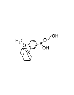 COc1ccc(B(O)OCCO)cc1C12CC3CC(CC(C3)C1)C2